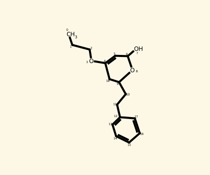 CCCOC1=CC(O)OC(CCc2ccccc2)C1